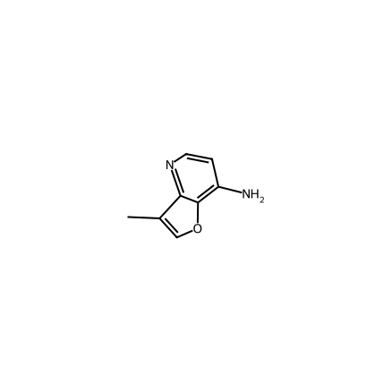 Cc1coc2c(N)ccnc12